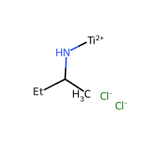 CCC(C)[NH][Ti+2].[Cl-].[Cl-]